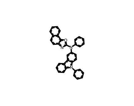 c1ccc(N(c2ccc3c(c2)c2ccccc2n3-c2ccccc2)c2nc3ccc4ccccc4c3o2)cc1